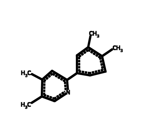 Cc1ccc(-c2cc(C)c(C)cn2)cc1C